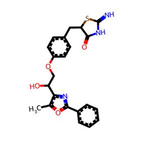 Cc1oc(-c2ccccc2)nc1C(O)COc1ccc(CC2SC(=N)NC2=O)cc1